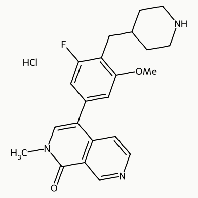 COc1cc(-c2cn(C)c(=O)c3cnccc23)cc(F)c1CC1CCNCC1.Cl